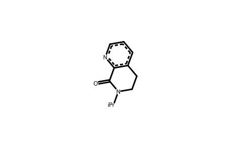 CC(C)N1CCc2cccnc2C1=O